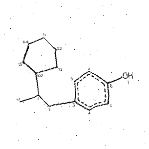 CC(Cc1ccc(O)cc1)C1CCCCC1